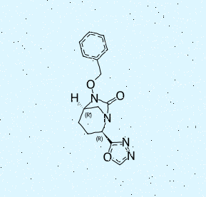 O=C1N2C[C@@H](CC[C@@H]2c2nnco2)N1OCc1ccccc1